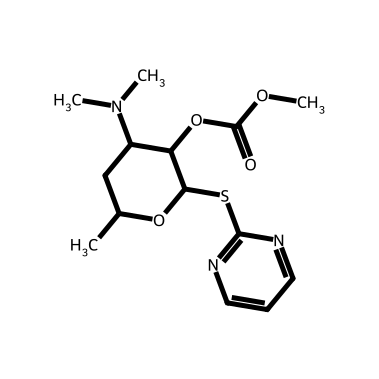 COC(=O)OC1C(Sc2ncccn2)OC(C)CC1N(C)C